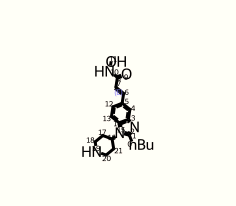 CCCCc1nc2cc(/C=C/C(=O)NO)ccc2n1C1CCNCC1